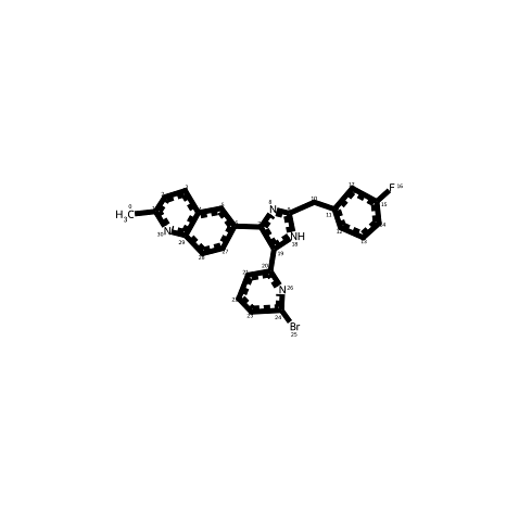 Cc1ccc2cc(-c3nc(Cc4cccc(F)c4)[nH]c3-c3cccc(Br)n3)ccc2n1